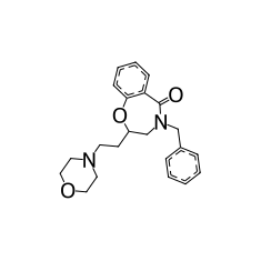 O=C1c2ccccc2OC(CCN2CCOCC2)CN1Cc1ccccc1